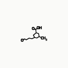 CC1CC(CCCC=O)CC(C(=O)O)C1